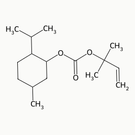 C=CC(C)(C)OC(=O)OC1CC(C)CCC1C(C)C